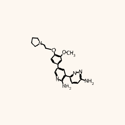 COc1cc(-c2cnc(N)c(-c3ccc(N)nn3)c2)ccc1OCCN1CCCC1